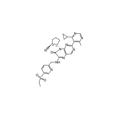 CCS(=O)(=O)c1ccc(CNc2nc3cnc(-c4c(C)ncnc4C4CC4)nc3n([C@H]3CCC[C@@H]3C#N)c2=O)nc1